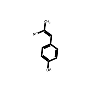 C/C(C#N)=C/c1ccc(O)cc1